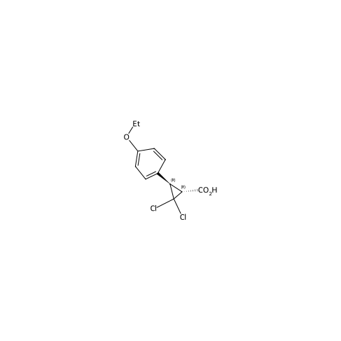 CCOc1ccc([C@H]2[C@H](C(=O)O)C2(Cl)Cl)cc1